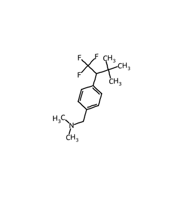 CN(C)Cc1ccc(C(C(C)(C)C)C(F)(F)F)cc1